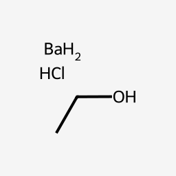 CCO.Cl.[BaH2]